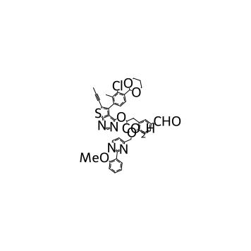 CC#Cc1sc2ncnc(OC(Cc3cc(C=O)ccc3OCc3ccnc(-c4ccccc4OC)n3)C(=O)O)c2c1-c1ccc(C2OCCCO2)c(Cl)c1C